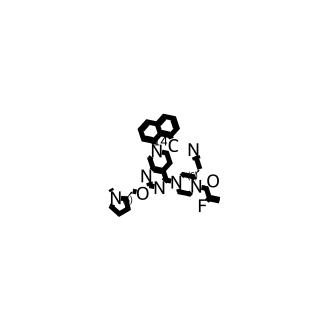 C=C(F)C(=O)N1CCN(c2nc(OC[C@@H]3CCCN3C)nc3c2CCN(c2cccc4cccc([14CH3])c24)C3)C[C@@H]1CC#N